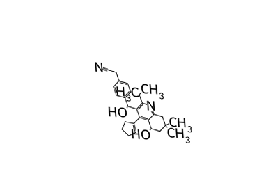 CC(C)c1nc2c(c(C3=CCCC3)c1[C@H](O)c1ccc(CC#N)cc1)C(O)CC(C)(C)C2